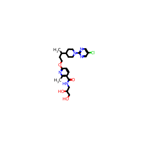 Cc1nc(OCCC(C)C2CCN(c3ncc(Cl)cn3)CC2)ccc1C(=O)NCC(O)CO